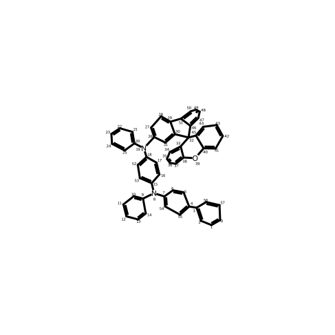 c1ccc(-c2ccc(N(c3ccccc3)c3ccc(N(c4ccccc4)c4ccc5c(c4)C4(c6ccccc6Oc6ccccc64)c4ccccc4-5)cc3)cc2)cc1